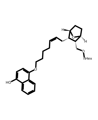 CCCCCCOC[C@@H]1[C@H](C/C=C\CCCCOc2ccc(O)c3ccccc23)[C@@H]2CC[C@@H]1O2